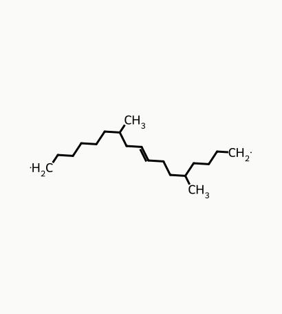 [CH2]CCCCCC(C)CC=CCCC(C)CCC[CH2]